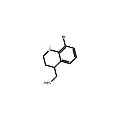 CNCC1CCNc2c(Br)cccc21